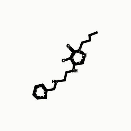 CCCCn1ncc(NCCNCc2ccccc2)c(Cl)c1=O